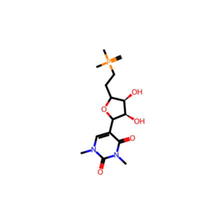 C=P(C)(C)CCC1OC(c2cn(C)c(=O)n(C)c2=O)[C@H](O)[C@@H]1O